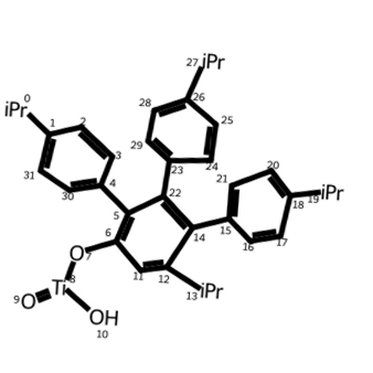 CC(C)c1ccc(-c2c([O][Ti](=[O])[OH])cc(C(C)C)c(-c3ccc(C(C)C)cc3)c2-c2ccc(C(C)C)cc2)cc1